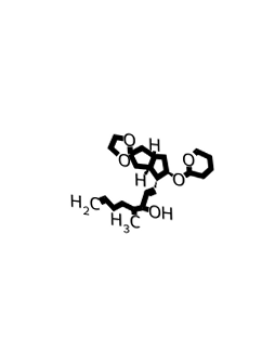 C=CCCC(C)C(O)C=C[C@@H]1[C@@H]2CC3(C[C@@H]2C[C@H]1OC1CCCCO1)OCCO3